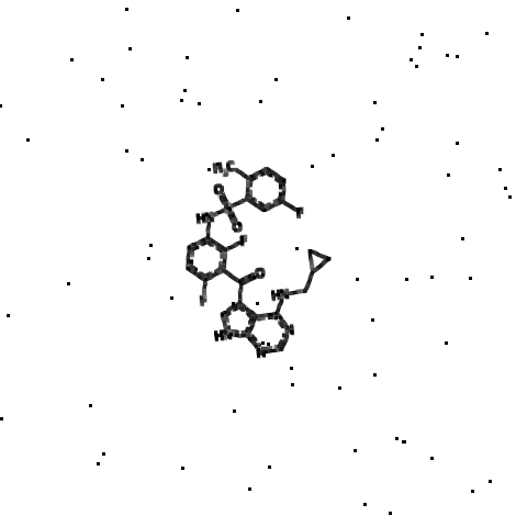 Cc1ccc(F)cc1S(=O)(=O)Nc1ccc(F)c(C(=O)c2c[nH]c3ncnc(NCC4CC4)c23)c1F